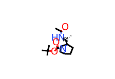 CC(=O)N[C@H](C)C12CCC(CC1)N2C(=O)OC(C)(C)C